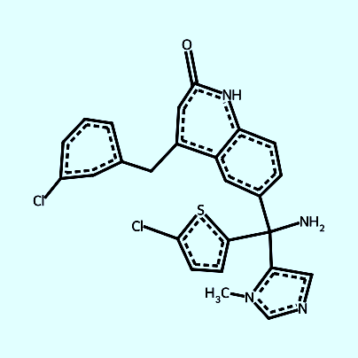 Cn1cncc1C(N)(c1ccc2[nH]c(=O)cc(Cc3cccc(Cl)c3)c2c1)c1ccc(Cl)s1